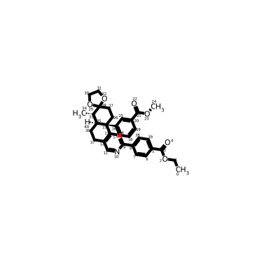 CCOC(=O)c1ccc(-c2ncc3c(n2)[C@@]2(c4cccc(C(=O)OC)c4)CCC4(OCCO4)[C@@H](C)[C@@H]2CC3)cc1